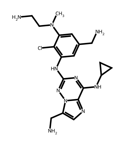 CN(CCN)c1cc(CN)cc(Nc2nc(NC3CC3)c3ncc(CN)n3n2)c1Cl